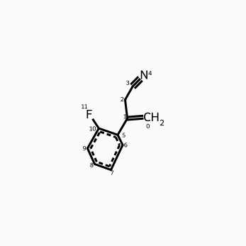 C=C(CC#N)c1ccccc1F